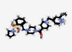 C=C(N)/C=C(\C=C/N)CN1CCC(C(=O)N2CCN(Cc3ccccc3S(=O)(=O)N3CCCC3)CC2)CC1